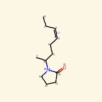 CC/C=C\CCC(C)N1CCCC1=O